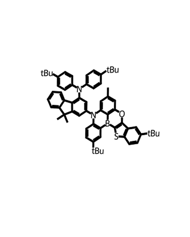 Cc1cc2c3c(c1)N(c1cc(N(c4ccc(C(C)(C)C)cc4)c4ccc(C(C)(C)C)cc4)c4c(c1)C(C)(C)c1ccccc1-4)c1ccc(C(C)(C)C)cc1B3c1sc3ccc(C(C)(C)C)cc3c1O2